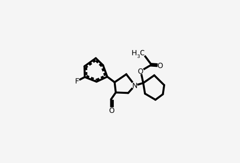 CC(=O)OC1(N2CC(C=O)C(c3cccc(F)c3)C2)CCCCC1